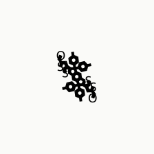 Cc1ccc(C2(c3ccc(C)cc3)c3cc4c(cc3-c3sc5sc(C=O)cc5c32)C(c2ccc(C)cc2)(c2ccc(C)cc2)c2c-4sc3sc(C=O)cc23)cc1